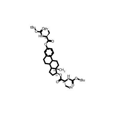 CC(C)C[C@H](NC(=O)OC(C)(C)C)C(=O)Oc1ccc2c(c1)CCC1C2CC[C@@]2(C)C1CC[C@@H]2OC(=O)[C@@H](CC(C)C)NC(=O)OC(C)(C)C